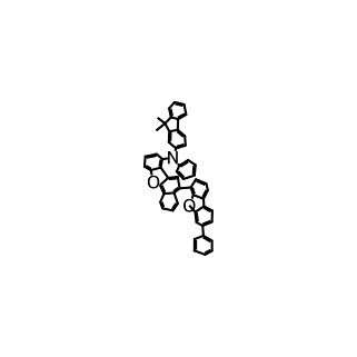 CC1(C)c2ccccc2-c2ccc(N(c3ccccc3)c3cccc4oc5c6ccccc6c(-c6cccc7c6oc6cc(-c8ccccc8)ccc67)cc5c34)cc21